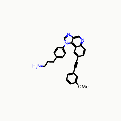 COc1cccc(C#Cc2ccc3ncc4ncn(-c5ccc(CCCN)cc5)c4c3c2)c1